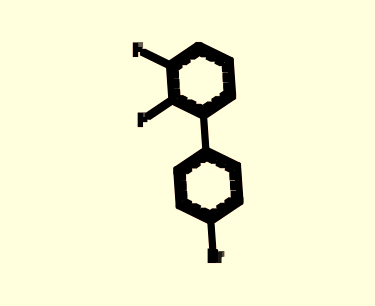 Fc1cccc(-c2ccc(Br)cc2)c1F